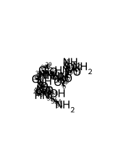 CC[C@H](C)[C@H](NC(=O)[C@H](CCC(N)=O)NC(=O)CN)C(=O)NCC(=O)N[C@@H](CC(C)C)C(=O)N[C@@H](C)C(=O)NCC(=O)N1CCC[C@H]1C(=O)N[C@@H](CCCCN)C(=O)O